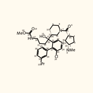 CN[C@H]1CC[C@@H](C(=O)N2CCC[C@@H]([C@@](O)(CCCNC(=O)OC)c3cncc(Cl)c3-c3cccc(C(C)C)c3)C2)C1